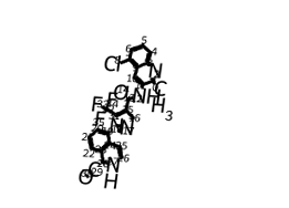 Cc1nc2cccc(Cl)c2cc1NC(=O)c1cnn(-c2cccc3c2C=CNC3=C=O)c1C(F)(F)F